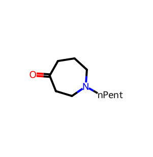 CCCCCN1CCCC(=O)CC1